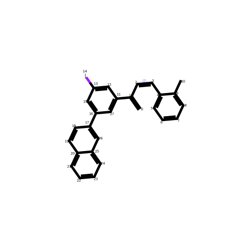 C=C(/C=C\c1ccccc1C)c1cc(I)cc(-c2ccc3ccccc3c2)c1